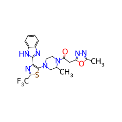 Cc1nnc(CC(=O)N2CCN(c3sc(C(F)(F)F)nc3-c3nc4ccccc4[nH]3)CC2C)o1